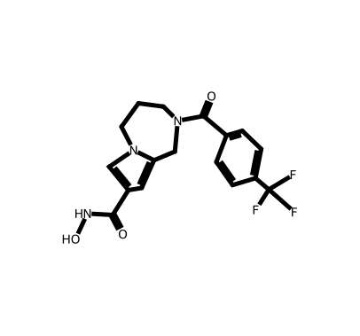 O=C(NO)c1cc2n(c1)CCCN(C(=O)c1ccc(C(F)(F)F)cc1)C2